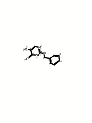 N#Cc1cnc(SCc2ccccc2)[nH]c1=O